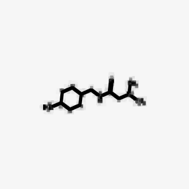 CN(C)CC(=O)NCC1CCC(N)CC1